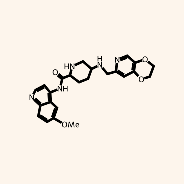 COc1ccc2nccc(NC(=O)C3CCC(NCc4cc5c(cn4)OCCO5)CN3)c2c1